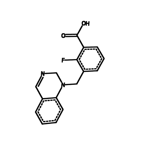 O=C(O)c1cccc(CN2CN=Cc3ccccc32)c1F